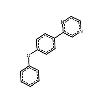 c1ccc(Oc2ccc(-c3cnccn3)cc2)cc1